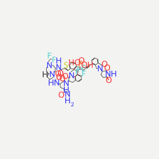 NC(=O)CCC(NC(=O)[C@@H]1CC[C@@H]2CCN(CC(F)F)C[C@H](NC(=O)c3cc4cc(C(F)(F)P(=O)(O)O)ccc4s3)C(=O)N21)C(=O)NC(Cc1ccc(F)c(F)c1)C(=O)N1CCC(CCC#Cc2cccc3c2CN(C2CCC(=O)NC2=O)C3=O)CC1